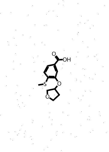 CSc1ccc(C(=O)O)cc1OC1CCOC1